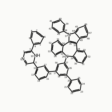 C1=NC=C(c2ccccc2)NC1c1cccc(-c2cc(-c3ccccc3)cc(N3c4ccccc4-c4c(n(-c5ccccc5)c5ccccc45)-c4ccccc43)c2)c1